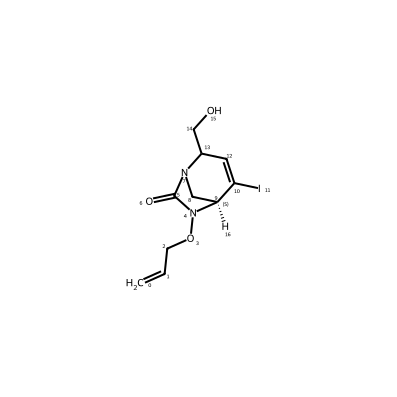 C=CCON1C(=O)N2C[C@H]1C(I)=CC2CO